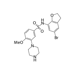 COc1ccc(S(=O)(=O)Nc2cc(Br)cc3c2OCC3)cc1N1CCNCC1